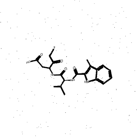 Cc1c(C(=O)N[C@H](C(=O)NC(CC(=O)O)C(=O)CF)C(C)C)[nH]c2ccccc12